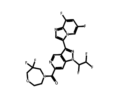 O=C(c1cc2c(cn1)c(-c1cnc3c(F)cc(F)cn13)nn2C(F)C(F)F)N1CCOCC(F)(F)C1